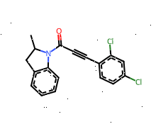 CC1Cc2ccccc2N1C(=O)C#Cc1ccc(Cl)cc1Cl